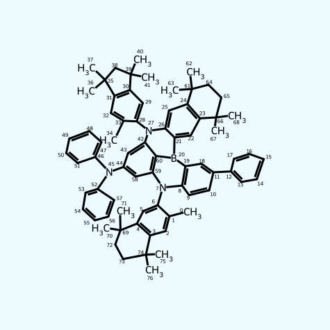 Cc1cc2c(cc1N1c3ccc(-c4ccccc4)cc3B3c4cc5c(cc4N(c4cc6c(cc4C)C(C)(C)CC6(C)C)c4cc(N(c6ccccc6)c6ccccc6)cc1c43)C(C)(C)CCC5(C)C)C(C)(C)CCC2(C)C